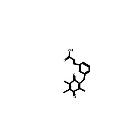 CC1=C(C)C(=O)C(Cc2cccc(C=CC(=O)O)c2)=C(C)C1=O